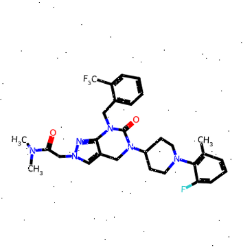 Cc1cccc(F)c1N1CCC(N2Cc3cn(CC(=O)N(C)C)nc3N(Cc3ccccc3C(F)(F)F)C2=O)CC1